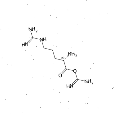 N=C(N)NCCC[C@H](N)C(=O)OC(=N)N